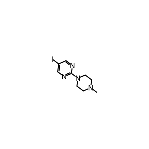 CN1CCN(c2ncc(I)cn2)CC1